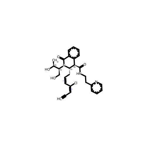 C#C/C=C(Cl)\C=C/C[C@H]1[C@H](C(=O)NCCc2ccccn2)c2ccccc2C(=O)N1[C@@H](CO)[C@H](C)O